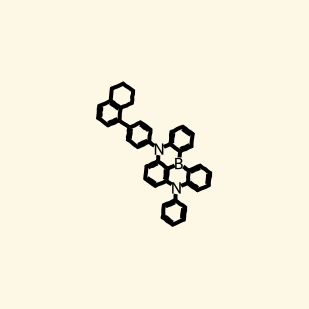 c1ccc(N2c3ccccc3B3c4ccccc4N(c4ccc(-c5cccc6c5CCCC6)cc4)c4cccc2c43)cc1